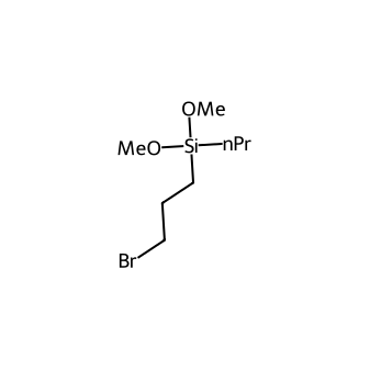 CCC[Si](CCCBr)(OC)OC